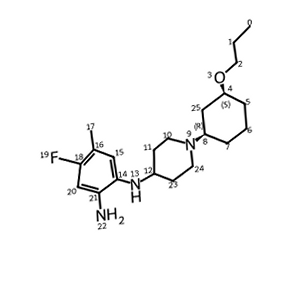 CCCO[C@H]1CCC[C@@H](N2CCC(Nc3cc(C)c(F)cc3N)CC2)C1